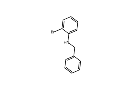 Brc1ccccc1NCc1ccccc1